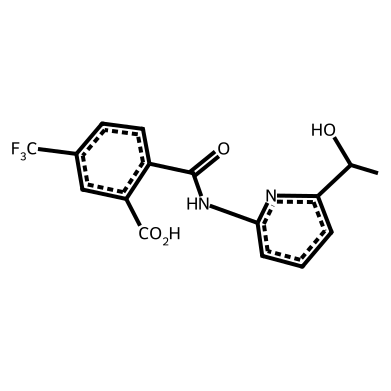 CC(O)c1cccc(NC(=O)c2ccc(C(F)(F)F)cc2C(=O)O)n1